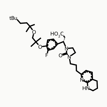 CC(C)(C)CCC(C)(C)OCC(C)(C)Oc1ccc([C@H](CC(=O)O)N2CCN(CCCc3ccc4c(n3)NCCC4)C2=O)cc1F